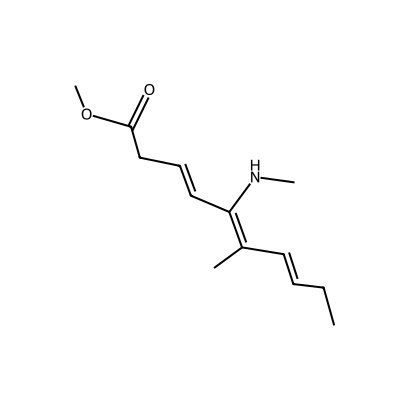 CC/C=C/C(C)=C(/C=C/CC(=O)OC)NC